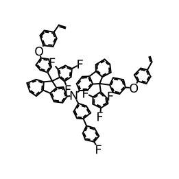 C=Cc1ccc(Oc2ccc(C3(c4c(F)cc(F)cc4F)c4ccccc4-c4ccc(N(c5ccc(-c6ccc(F)cc6)cc5)c5ccc6c(c5)C(c5ccc(Oc7ccc(C=C)cc7)cc5)(c5c(F)cc(F)cc5F)c5ccccc5-6)cc43)cc2)cc1